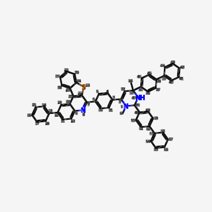 CN1C(c2ccc(-c3nc4ccc(-c5ccccc5)cc4c4c3sc3ccccc34)cc2)=CC(C)(c2ccc(-c3ccccc3)cc2)NC1c1ccc(-c2ccccc2)cc1